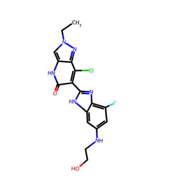 CCn1cc2[nH]c(=O)c(-c3nc4c(F)cc(NCCO)cc4[nH]3)c(Cl)c2n1